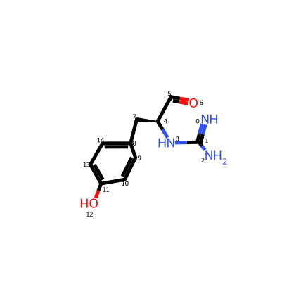 N=C(N)N[C@H]([C]=O)Cc1ccc(O)cc1